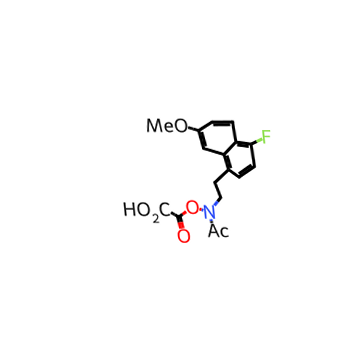 COc1ccc2c(F)ccc(CCN(OC(=O)C(=O)O)C(C)=O)c2c1